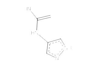 [NH]C(=S)Nc1cn[nH]c1